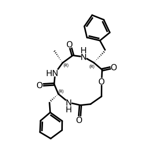 C[C@H]1NC(=O)[C@@H](CC2=CCCC=C2)NC(=O)CCOC(=O)[C@@H](Cc2ccccc2)NC1=O